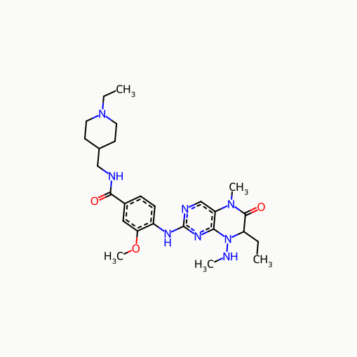 CCC1C(=O)N(C)c2cnc(Nc3ccc(C(=O)NCC4CCN(CC)CC4)cc3OC)nc2N1NC